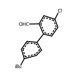 CCC(C)c1ccc(-c2ccc(Cl)cc2C=O)cc1